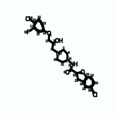 O=C(NN1CCN(CC(O)COc2ccc(Cl)c(F)c2)CC1)C1Cc2cc(Cl)ccc2O1